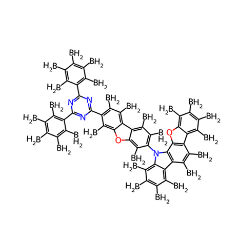 Bc1c(B)c(B)c(-c2nc(-c3c(B)c(B)c(B)c(B)c3B)nc(-c3c(B)c(B)c4c(oc5c(B)c(-n6c7c(B)c(B)c(B)c(B)c7c7c(B)c(B)c8c(oc9c(B)c(B)c(B)c(B)c98)c76)c(B)c(B)c54)c3B)n2)c(B)c1B